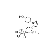 C[C@@H]1CN(C(=O)[C@@](C)(O)C(F)(F)F)CC[C@@H]1c1ccnn1[C@H]1CC[C@H](O)CC1